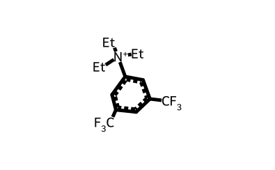 CC[N+](CC)(CC)c1cc(C(F)(F)F)cc(C(F)(F)F)c1